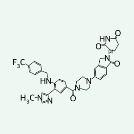 Cn1cnc(-c2cc(C(=O)N3CCN(c4ccc5c(c4)CN([C@H]4CCC(=O)NC4=O)C5=O)CC3)ccc2NCc2ccc(C(F)(F)F)cc2)c1